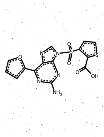 Nc1nc(-c2ccco2)c2ncn(S(=O)(=O)c3ccsc3C(=O)O)c2n1